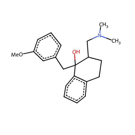 COc1cccc(CC2(O)c3ccccc3CCC2CN(C)C)c1